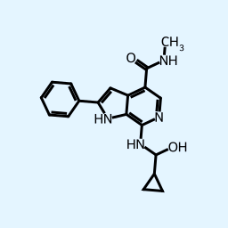 CNC(=O)c1cnc(NC(O)C2CC2)c2[nH]c(-c3ccccc3)cc12